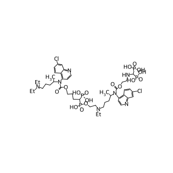 CCN(CC)CCCC(C)N(C(=O)OCCCC(P(=O)(O)O)P(=O)(O)OCCN(CC)CCCC(C)N(C(=O)OCCNC(P(=O)(O)O)P(=O)(O)O)c1ccnc2cc(Cl)ccc12)c1ccnc2cc(Cl)ccc12